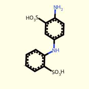 Nc1ccc(Nc2cc[c]cc2S(=O)(=O)O)cc1S(=O)(=O)O